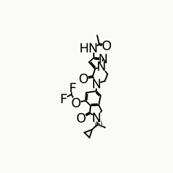 CC(=O)Nc1cc2n(n1)CCN(c1cc3c(c(OC(F)F)c1)C(=O)N([C@@H](C)C1CC1)C3)C2=O